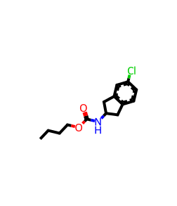 CCCCOC(=O)NC1Cc2ccc(Cl)cc2C1